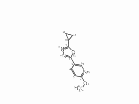 COc1ccc(-c2nnc(C3CC3)o2)cn1